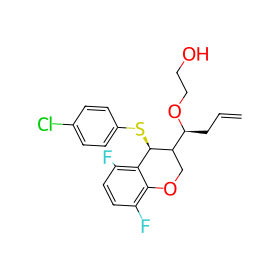 C=CC[C@H](OCCO)C1COc2c(F)ccc(F)c2[C@H]1Sc1ccc(Cl)cc1